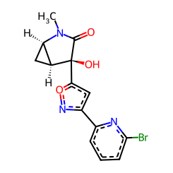 CN1C(=O)[C@](O)(c2cc(-c3cccc(Br)n3)no2)[C@H]2C[C@H]21